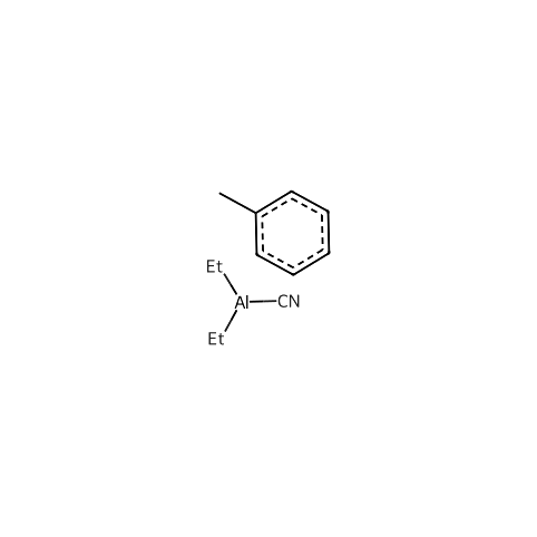 C[CH2][Al]([C]#N)[CH2]C.Cc1ccccc1